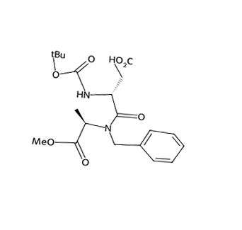 COC(=O)[C@@H](C)N(Cc1ccccc1)C(=O)[C@@H](CC(=O)O)NC(=O)OC(C)(C)C